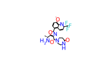 COc1ccc(-c2nc(C(=O)N3CCNC(=O)CC3)c([C@H](C)N)o2)c2ccc(C(F)(F)F)nc12